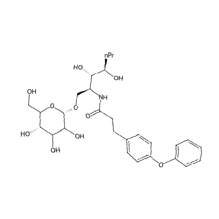 CCC[C@@H](O)[C@@H](O)[C@H](CO[C@H]1OC(CO)[C@@H](O)C(O)C1O)NC(=O)CCc1ccc(Oc2ccccc2)cc1